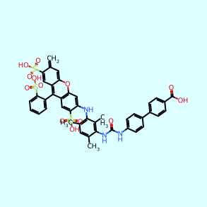 C=c1cc2c(cc1S(=O)(=O)O)=C(c1ccccc1S(=O)(=O)O)c1cc(S(=O)(=O)O)c(Nc3c(C)cc(C)c(NC(=O)Nc4ccc(-c5ccc(C(=O)O)cc5)cc4)c3C)cc1O2